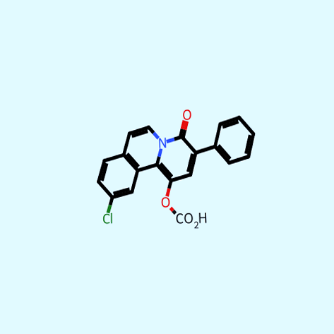 O=C(O)Oc1cc(-c2ccccc2)c(=O)n2ccc3ccc(Cl)cc3c12